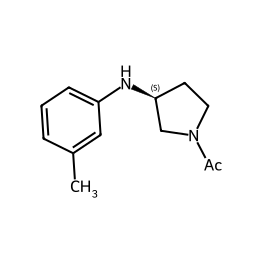 CC(=O)N1CC[C@H](Nc2cccc(C)c2)C1